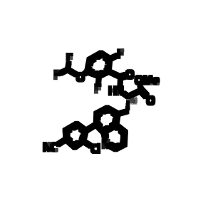 COC(=O)[C@H](Cc1ccc(-c2ccc(C#N)cc2Cl)c2ncccc12)NC(=O)c1c(F)ccc(OC(F)F)c1F